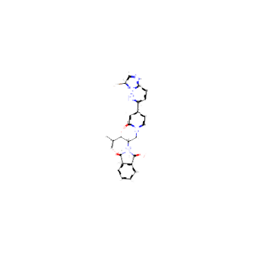 CC(C)CC(Cn1ccc(-c2ccc3ncc(Br)n3n2)cc1=O)N1C(=O)c2ccccc2C1=O